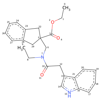 CCOC(=O)C1(CN(CC)C(=O)Cc2c[nH]c3ccccc23)Cc2ccccc2C1